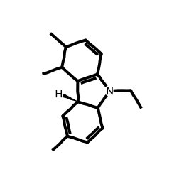 CCN1C2=C(C(C)C(C)C=C2)[C@H]2C=C(C)C=CC21